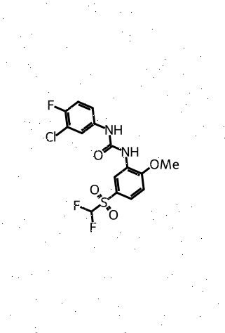 COc1ccc(S(=O)(=O)C(F)F)cc1NC(=O)Nc1ccc(F)c(Cl)c1